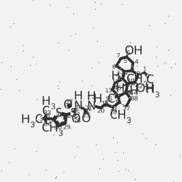 CC[C@@H]1C2C[C@H](O)CC[C@]2(C)[C@H]2CCC3(C)[C@@H]([C@H](C)CCNC(=O)NS(=O)(=O)c4ccc(C(C)(C)C)s4)CC[C@H]3[C@H]2[C@@H]1O